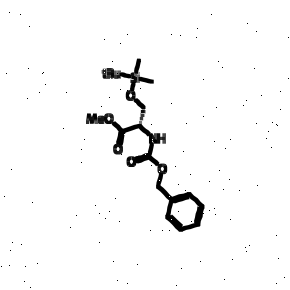 COC(=O)[C@H](CO[Si](C)(C)C(C)(C)C)NC(=O)OCc1ccccc1